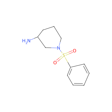 NC1CCCN(S(=O)(=O)c2ccccc2)C1